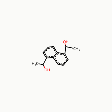 CC(O)c1cccc2c(C(C)O)cccc12